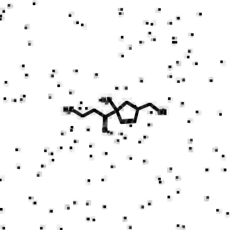 CCCC(=O)C1(N)C=CC(CO)C1